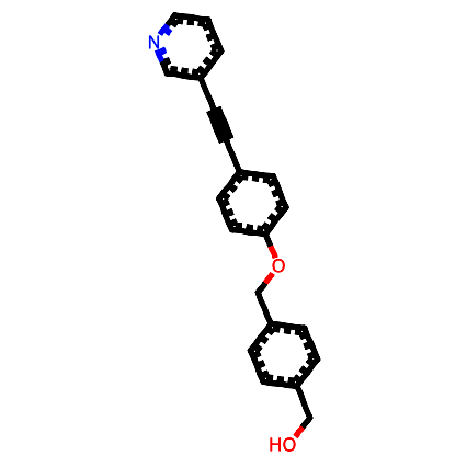 OCc1ccc(COc2ccc(C#Cc3cccnc3)cc2)cc1